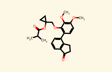 COc1ccc(-c2cccc3c2CCC3=O)c(OCC2(OC(=O)C(C)C)CC2)c1OC